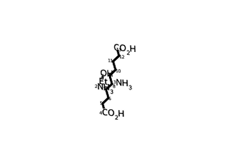 CCO.N.N.O=C(O)CCCCCCCCC(=O)O